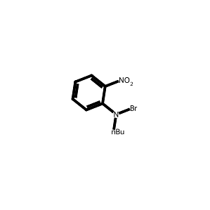 CCCCN(Br)c1ccccc1[N+](=O)[O-]